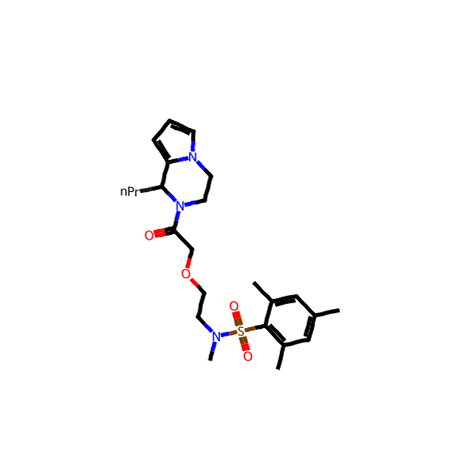 CCCC1c2cccn2CCN1C(=O)COCCN(C)S(=O)(=O)c1c(C)cc(C)cc1C